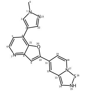 Cn1cc(-c2ccnc3cc(C4=CC5=CNSN5C=C4)oc23)cn1